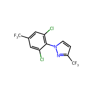 FC(F)(F)c1cc(Cl)c(-n2ccc(C(F)(F)F)n2)c(Cl)c1